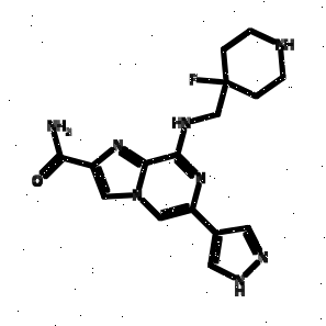 NC(=O)c1cn2cc(-c3cn[nH]c3)nc(NCC3(F)CCNCC3)c2n1